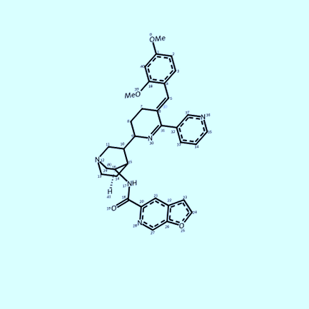 COc1ccc(/C=C2\CCC(C3CN4CCC3[C@@H](NC(=O)c3cc5ccoc5cn3)C4)N=C2c2cccnc2)c(OC)c1